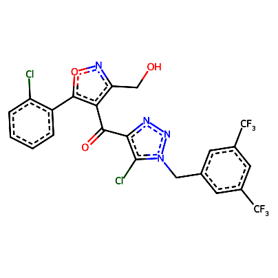 O=C(c1nnn(Cc2cc(C(F)(F)F)cc(C(F)(F)F)c2)c1Cl)c1c(CO)noc1-c1ccccc1Cl